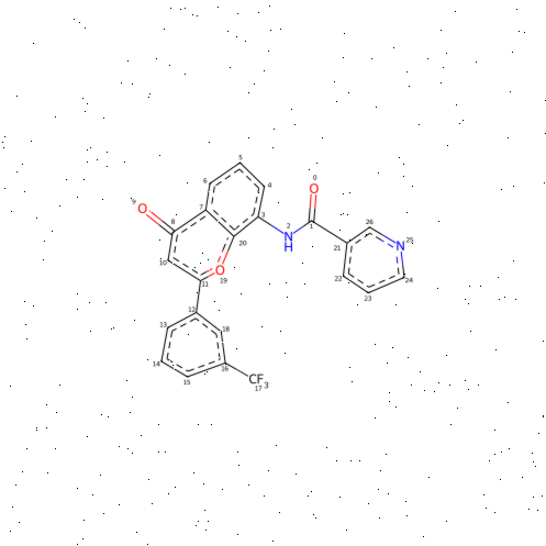 O=C(Nc1cccc2c(=O)cc(-c3cccc(C(F)(F)F)c3)oc12)c1cccnc1